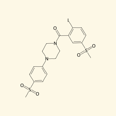 CS(=O)(=O)c1ccc(N2CCN(C(=O)c3cc(S(C)(=O)=O)ccc3I)CC2)cc1